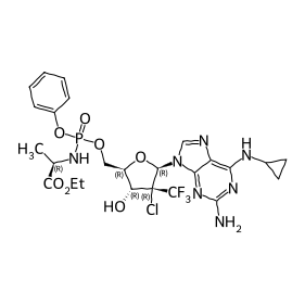 CCOC(=O)[C@@H](C)NP(=O)(OC[C@H]1O[C@@H](n2cnc3c(NC4CC4)nc(N)nc32)[C@@](Cl)(C(F)(F)F)[C@@H]1O)Oc1ccccc1